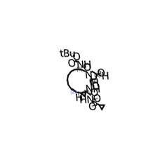 [3H]O[C@@H]1C[C@H]2C(=O)N[C@]3(C(=O)NS(=O)(=O)C4CC4)C[C@H]3/C=C\CCCCC[C@H](NC(=O)OC(C)(C)C)C(=O)N2C1